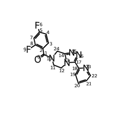 O=C(c1ccc(F)cc1F)N1CCn2c(nnc2-c2ccccn2)C1